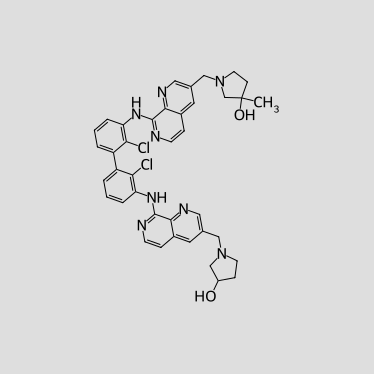 CC1(O)CCN(Cc2cnc3c(Nc4cccc(-c5cccc(Nc6nccc7cc(CN8CCC(O)C8)cnc67)c5Cl)c4Cl)nccc3c2)C1